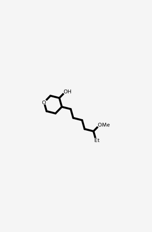 CCC(CCCCC1CCOCC1O)OC